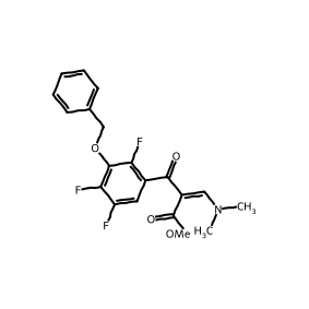 COC(=O)/C(=C\N(C)C)C(=O)c1cc(F)c(F)c(OCc2ccccc2)c1F